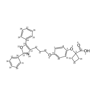 O=C(O)C1(Oc2ccc(OCCCc3nc(-c4ccccc4)oc3-c3ccccc3)cc2)CCC1